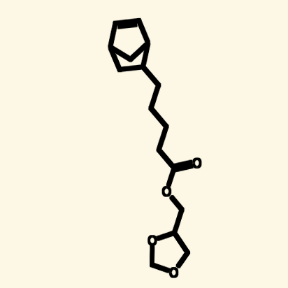 O=C(CCCCC1CC2C=CC1C2)OCC1COCO1